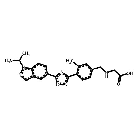 Cc1cc(CNCC(=O)O)ccc1-c1noc(-c2ccc3c(cnn3C(C)C)c2)n1